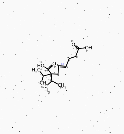 CC(C)C(C/C=C/CCC(=O)O)(C(=O)O)C(C)C